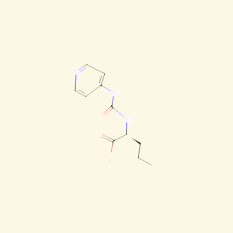 CCC[C@H](NC(=O)Nc1ccncc1)C(=O)O